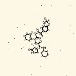 O=C(NC1CCCCC1)C(=O)[C@H](C[C@@H]1CCNC1=O)NC(=O)[C@H](CC1CCCCC1)NC(=O)c1ccc2c(c1)OC(F)(F)O2